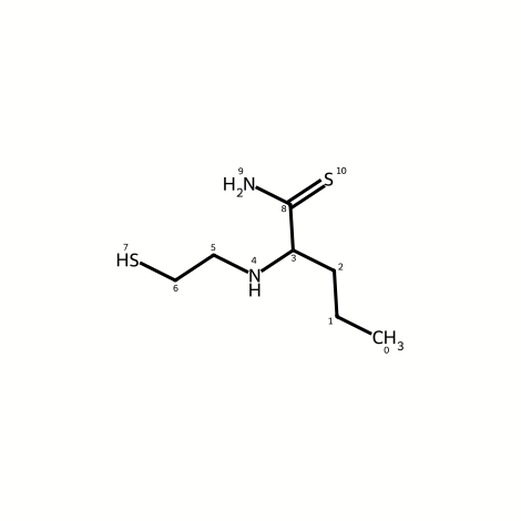 CCCC(NCCS)C(N)=S